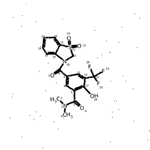 CN(C)C(=O)c1cc(C(=O)N2CS(=O)(=O)c3ccccc32)cc(C(F)(F)F)c1O